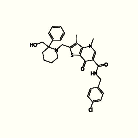 Cc1c(CN2CCCCC2(CO)c2ccccc2)sc2c(=O)c(C(=O)NCc3ccc(Cl)cc3)cn(C)c12